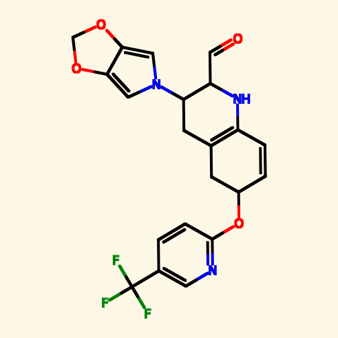 O=CC1NC2=C(CC(Oc3ccc(C(F)(F)F)cn3)C=C2)CC1n1cc2c(c1)OCO2